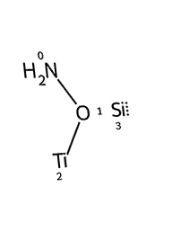 N[O][Ti].[Si]